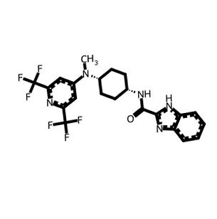 CN(c1cc(C(F)(F)F)nc(C(F)(F)F)c1)[C@H]1CC[C@@H](NC(=O)c2nc3ccccc3[nH]2)CC1